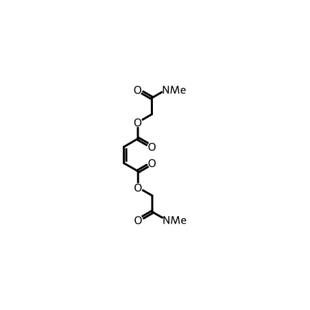 CNC(=O)COC(=O)/C=C\C(=O)OCC(=O)NC